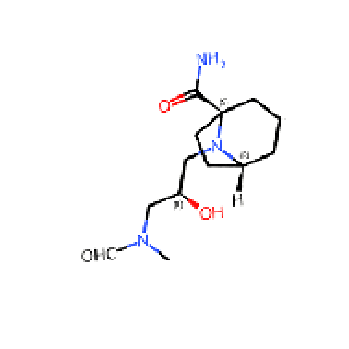 CN(C=O)C[C@H](O)CN1[C@@H]2C[CH]C[C@@]1(C(N)=O)CC2